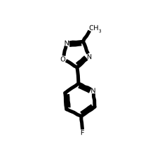 Cc1noc(-c2ccc(F)cn2)n1